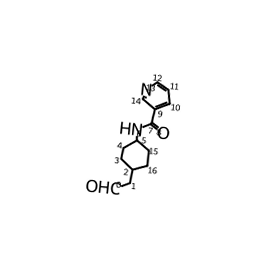 O=CCC1CCC(NC(=O)c2cccnc2)CC1